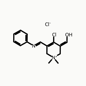 C[N+]1(C)CC(/C=N/c2ccccc2)=C(Cl)C(=C\O)/C1.[Cl-]